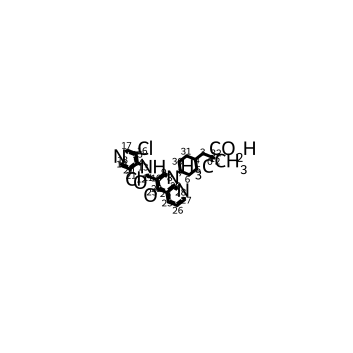 CC(C)(CC1CCC(n2cc(C(=O)Nc3c(Cl)cncc3Cl)c(=O)c3cccnc32)CC1)C(=O)O